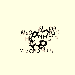 COC(=O)c1cnc(Nc2cc(N)c(N(C)CCN(C)C)cc2OC)nc1-c1cn(C)c2ccccc12